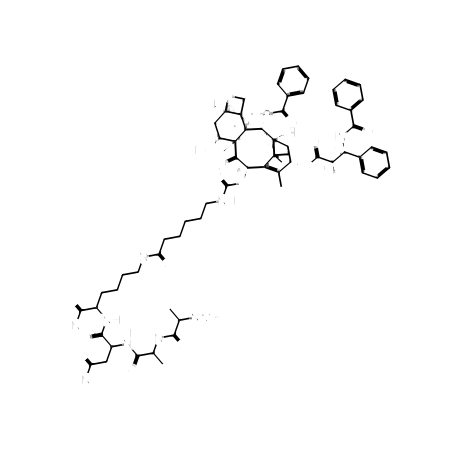 CNC(C)C(=O)NC(C)C(=O)NC(CC(N)=O)C(=O)NC(CCCCNC(=O)CCCCCNC(=O)O[C@H]1C(=O)[C@@]2(C)[C@H]([C@H](OC(=O)c3ccccc3)[C@]3(O)C[C@H](OC(=O)[C@H](O)[C@@H](NC(=O)c4ccccc4)c4ccccc4)C(C)=C1C3(C)C)[C@]1(OC(C)=O)CO[C@@H]1C[C@@H]2O)C(N)=O